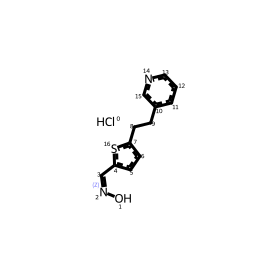 Cl.O/N=C\c1ccc(CCc2cccnc2)s1